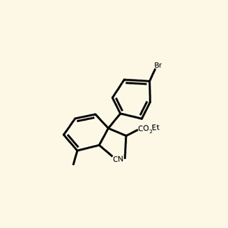 CCOC(=O)C(C)C1(c2ccc(Br)cc2)C=CC=C(C)C1C#N